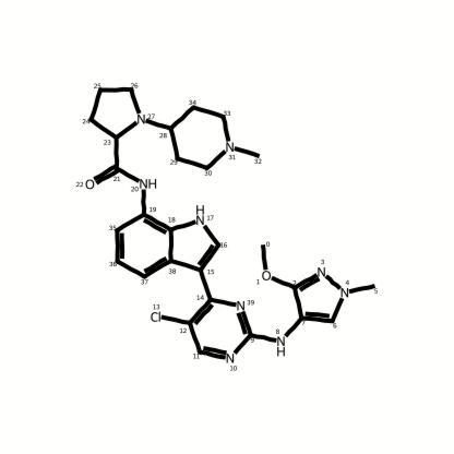 COc1nn(C)cc1Nc1ncc(Cl)c(-c2c[nH]c3c(NC(=O)C4CCCN4C4CCN(C)CC4)cccc23)n1